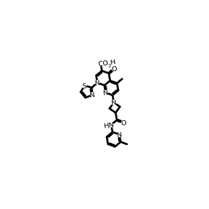 Cc1cccc(NC(=O)C2CN(c3cc(C)c4c(=O)c(C(=O)O)cn(-c5nccs5)c4n3)C2)n1